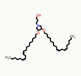 CCCCC/C=C\C/C=C\CCCCCCCCOC1CN(CCCO)C[C@H]1OCCCCCCCC/C=C\C/C=C\CCCCC